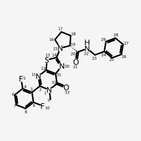 Cn1c(-c2c(F)cccc2F)nc2sc(N3CCC[C@@H]3C(=O)NCc3ccccc3)nc2c1=O